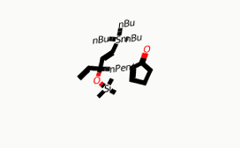 C=CC(C=[CH][Sn]([CH2]CCC)([CH2]CCC)[CH2]CCC)(CCCCC)O[Si](C)(C)C.O=C1C=CCC1